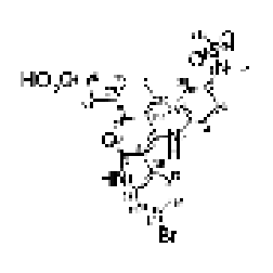 CN(c1ccc(NC(=C2C(=O)Nc3cc(Br)ccc32)c2cccc(CCC(=O)O)c2)cc1)S(C)(=O)=O